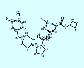 Cc1cc(C(=O)NC2CCC2)cc(NC(=O)[C@H]2CCCN2C2CCN(Cc3ccc(Cl)c(C)c3)CC2)n1